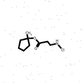 CC1(OC(=O)CCNCl)CCCC1